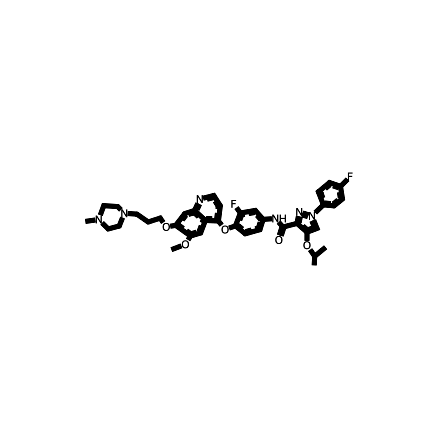 COc1cc2c(Oc3ccc(NC(=O)c4nn(-c5ccc(F)cc5)cc4OC(C)C)cc3F)ccnc2cc1OCCCN1CCN(C)CC1